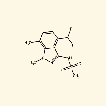 Cc1ccc(C(F)F)c2c(NS(C)(=O)=O)nn(C)c12